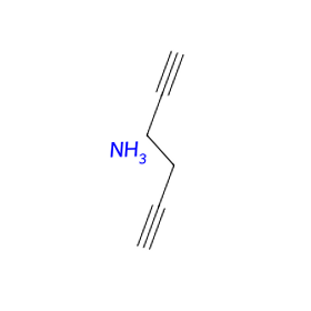 C#CCCC#C.N